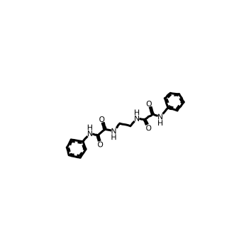 O=C(NCCNC(=O)C(=O)Nc1ccccc1)C(=O)Nc1ccccc1